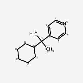 CC(C)(c1ccncc1)C1CCCCC1